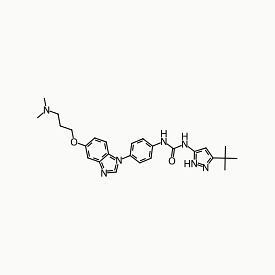 CN(C)CCCOc1ccc2c(c1)ncn2-c1ccc(NC(=O)Nc2cc(C(C)(C)C)n[nH]2)cc1